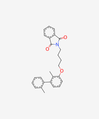 Cc1ccccc1-c1cccc(OCCCCN2C(=O)c3ccccc3C2=O)c1C